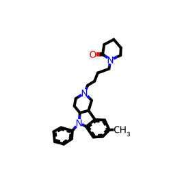 Cc1ccc2c(c1)C1CN(CCCCN3CCCCC3=O)CCC1N2c1ccccc1